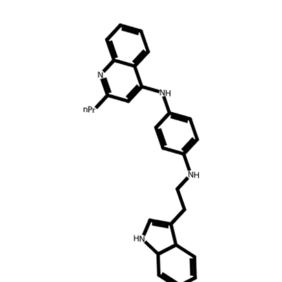 CCCc1cc(Nc2ccc(NCCC3=CNC4C=CC=CC34)cc2)c2ccccc2n1